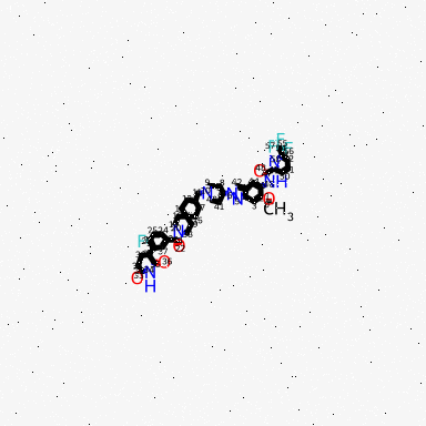 COc1cc2nn(C3CCN(CC4CCC5(CC4)CCN(C(=O)c4ccc(F)c(C6CCC(=O)NC6=O)c4)CC5)CC3)cc2cc1NC(=O)c1cccc(C(F)(F)F)n1